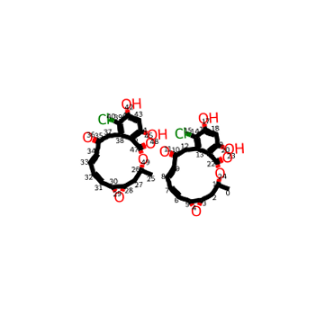 CC1CC2OC2/C=C\C=C\C(=O)Cc2c(Cl)c(O)cc(O)c2C(=O)O1.CC1CC2OC2/C=C\C=C\C(=O)Cc2c(Cl)c(O)cc(O)c2C(=O)O1